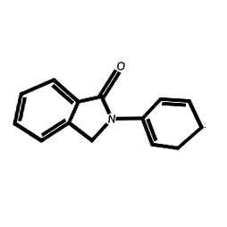 O=C1c2ccccc2CN1C1=CC[CH]C=C1